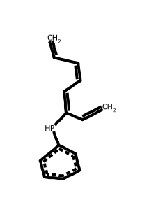 C=C/C=C\C=C(/C=C)Pc1ccccc1